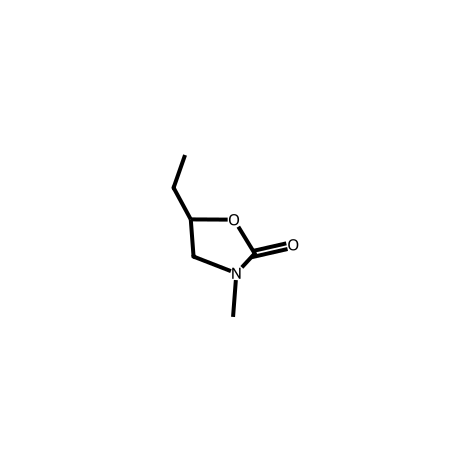 CCC1CN(C)C(=O)O1